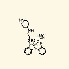 Cl.Cl.OS1(O)N(CCCNC2CCNCC2)c2ccccc2N1c1ccccc1F